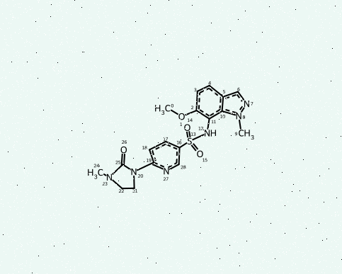 COc1ccc2cnn(C)c2c1NS(=O)(=O)c1ccc(N2CCN(C)C2=O)nc1